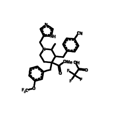 COC(=O)C1(Cc2cccc(OC(F)(F)F)c2)CCN(Cc2cnc[nH]2)C(C)C1Cc1ccc(C#N)cc1.O=C(O)C(F)(F)F